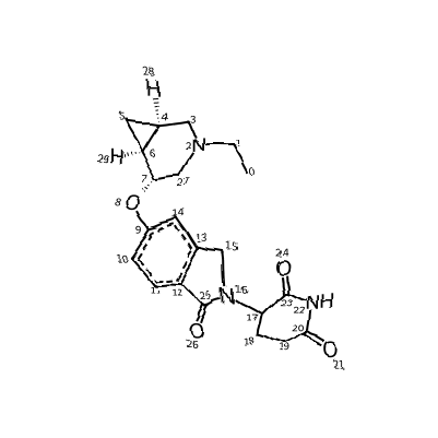 CCN1C[C@@H]2C[C@@H]2[C@@H](Oc2ccc3c(c2)CN(C2CCC(=O)NC2=O)C3=O)C1